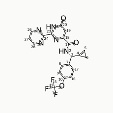 O=C(N[C@H](C1=CC1)c1ccc(OC(F)(F)F)cc1)c1cc(=O)[nH]c(-c2ncccn2)n1